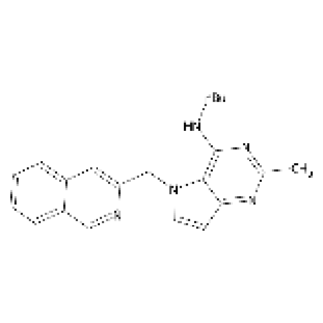 CCCCNc1nc(C)nc2ccn(Cc3cc4ccccc4cn3)c12